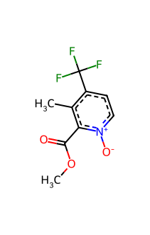 COC(=O)c1c(C)c(C(F)(F)F)cc[n+]1[O-]